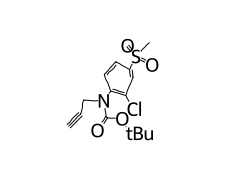 C#CCN(C(=O)OC(C)(C)C)c1ccc(S(C)(=O)=O)cc1Cl